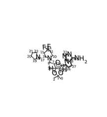 CC1(C)O[C@@H]2[C@H](O1)[C@@H](CN1CCC(F)(F)C[C@H]1CN1CCCC1)O[C@H]2c1ccc2c(N)ncnn12